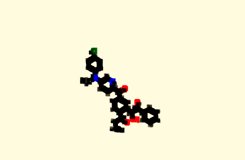 CN(c1ccc(Cl)cc1)c1ccc(C(=O)c2ccc(C(=O)CC(C)(C)C)c(C(O)C(=O)c3ccccc3)c2)nc1